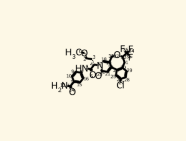 COCC[C@@H](C(=O)Nc1ccc(C(N)=O)cc1)n1cc2c(cc1=O)-c1cc(Cl)ccc1CC(C(F)(F)F)OC2